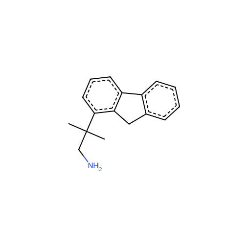 CC(C)(CN)c1cccc2c1Cc1ccccc1-2